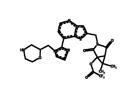 CC1(C)C2C(=O)N(Cc3cc4nccc(-c5nccn5CC5CNCCO5)c4s3)C(=O)C21OC(=O)C(F)(F)F